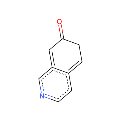 O=C1C=c2cnccc2=CC1